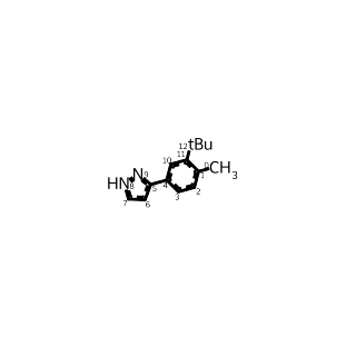 Cc1ccc(-c2cc[nH]n2)cc1C(C)(C)C